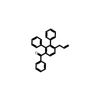 C=CCc1[c]cc(C(=O)c2ccccc2)c(-c2ccccc2)c1-c1ccccc1